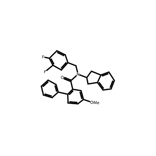 COc1ccc(-c2ccccc2)c(C(=O)N(Cc2ccc(F)c(F)c2)C2Cc3ccccc3C2)c1